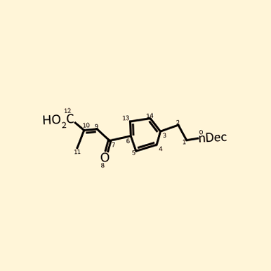 CCCCCCCCCCCCc1ccc(C(=O)/C=C(\C)C(=O)O)cc1